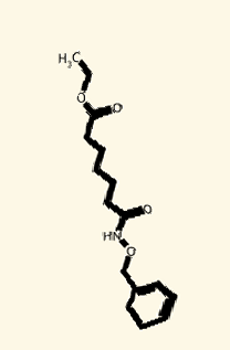 CCOC(=O)CCCCCC(=O)NOCc1ccccc1